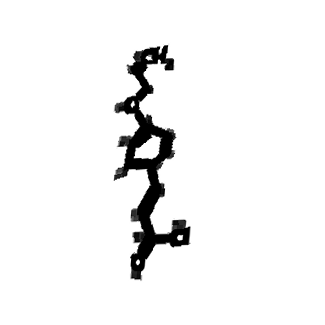 C=CCOc1ccc(C=CC(=O)Cl)cc1